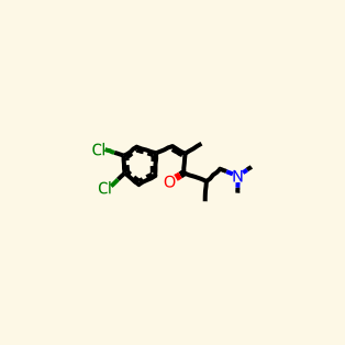 CC(=Cc1ccc(Cl)c(Cl)c1)C(=O)C(C)CN(C)C